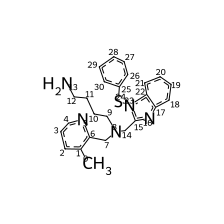 Cc1cccnc1CN(CCCCN)Cc1nc2ccccc2n1Sc1ccccc1